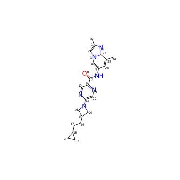 Cc1cn2cc(NC(=O)c3cnc(N4CC(CCC5CC5)C4)cn3)cc(C)c2n1